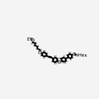 CCCCCCOc1ccc(-c2ccc(Oc3ccc(C#Cc4ccc(OCCCCCCOCC)cc4)cc3)cc2)cc1